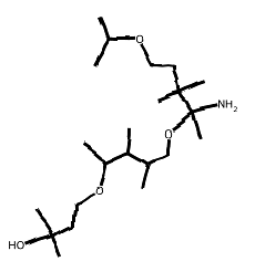 CC(C)OCCC(C)(C)C(C)(N)OCC(C)C(C)C(C)OCCC(C)(C)O